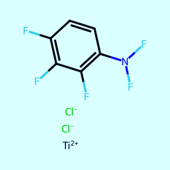 Fc1ccc(N(F)F)c(F)c1F.[Cl-].[Cl-].[Ti+2]